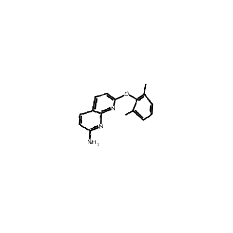 Cc1cccc(C)c1Oc1ccc2ccc(N)nc2n1